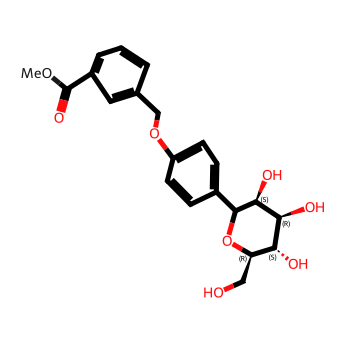 COC(=O)c1cccc(COc2ccc(C3O[C@H](CO)[C@@H](O)[C@H](O)[C@@H]3O)cc2)c1